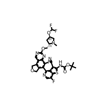 CN1C[C@H](OC(F)F)C[C@H]1COc1ncc2c3c(c(-c4ncc(F)c5sc(NC(=O)OC(C)(C)C)c(C#N)c45)c(F)c2n1)COC3